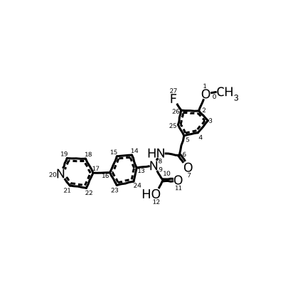 COc1ccc(C(=O)NN(C(=O)O)c2ccc(-c3ccncc3)cc2)cc1F